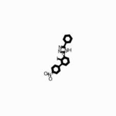 O=[N+]([O-])c1ccc(-c2cccc(-[n+]3nnc(-c4ccccc4)[nH]3)c2I)cc1